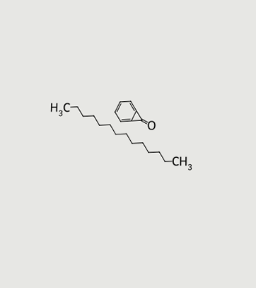 CCCCCCCCCCCCCC.O=c1c2ccccc12